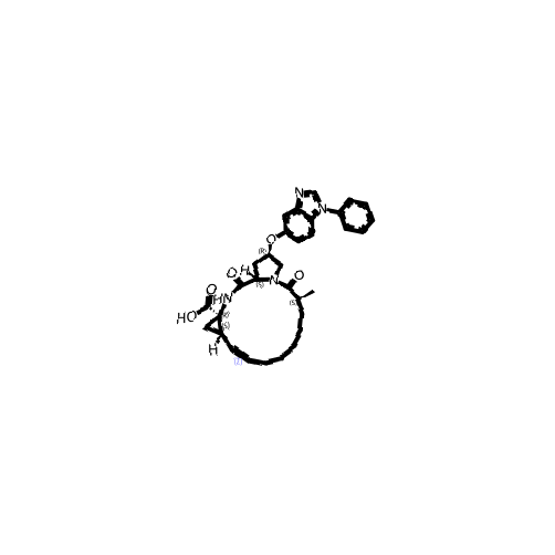 C[C@H]1CCCCC/C=C\[C@@H]2C[C@@]2(C(=O)O)NC(=O)[C@@H]2C[C@@H](Oc3ccc4c(c3)ncn4-c3ccccc3)CN2C1=O